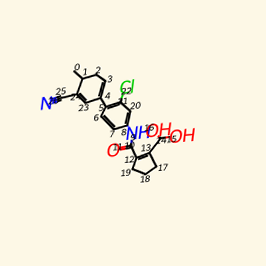 CC1CC=C(c2ccc(NC(=O)C3=C(C(O)O)CCC3)cc2Cl)C=C1C#N